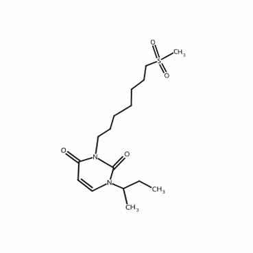 CCC(C)n1ccc(=O)n(CCCCCCCS(C)(=O)=O)c1=O